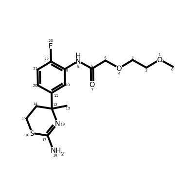 COCCOCC(=O)Nc1cc(C2(C)CCSC(N)=N2)ccc1F